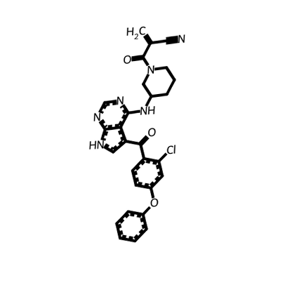 C=C(C#N)C(=O)N1CCCC(Nc2ncnc3[nH]cc(C(=O)c4ccc(Oc5ccccc5)cc4Cl)c23)C1